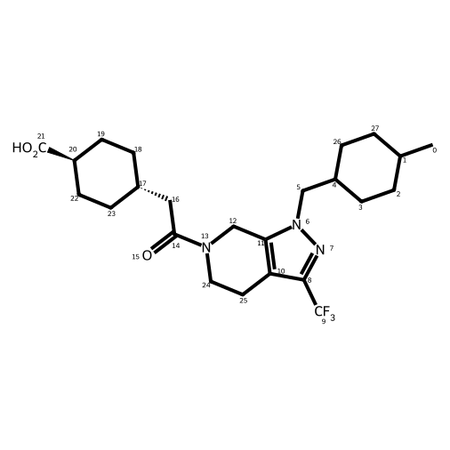 CC1CCC(Cn2nc(C(F)(F)F)c3c2CN(C(=O)C[C@H]2CC[C@H](C(=O)O)CC2)CC3)CC1